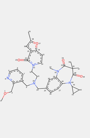 COCc1ncccc1CN(CCn1ccc2oc(C)cc2c1=O)Cc1ccc2c(c1)N(C)C(=O)C(C)(C)C(=O)N2C1CC1